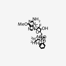 [2H]C([2H])([2H])[C@H](NP(=O)(OC[C@H]1O[C@@H](n2cnc3c(OC)nc(N)nc32)[C@](C)(F)[C@@H]1O)Oc1ccccc1)C(C)=O